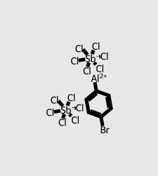 [Al+2][c]1ccc(Br)cc1.[Cl][Sb-]([Cl])([Cl])([Cl])([Cl])[Cl].[Cl][Sb-]([Cl])([Cl])([Cl])([Cl])[Cl]